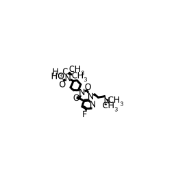 CN(C)CCCn1c(=O)n(C2CCC(N(C(=O)O)C(C)(C)C)CC2)c(=O)c2cc(F)cnc21